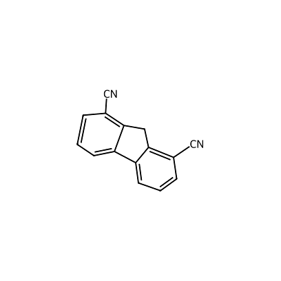 N#Cc1cccc2c1Cc1c(C#N)cccc1-2